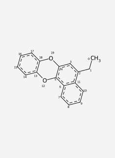 CCc1cc2c(c3ccccc13)Oc1ccccc1O2